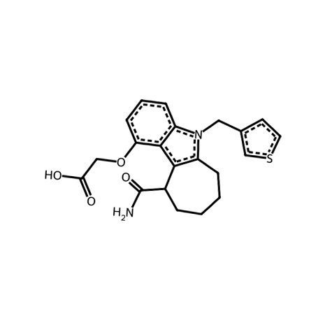 NC(=O)C1CCCCc2c1c1c(OCC(=O)O)cccc1n2Cc1ccsc1